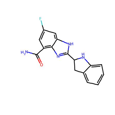 NC(=O)c1cc(F)cc2[nH]c(C3Cc4ccccc4N3)nc12